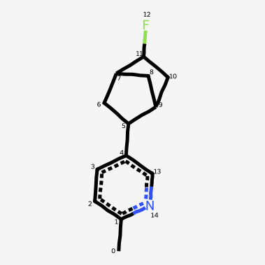 Cc1ccc(C2CC3CC2CC3F)cn1